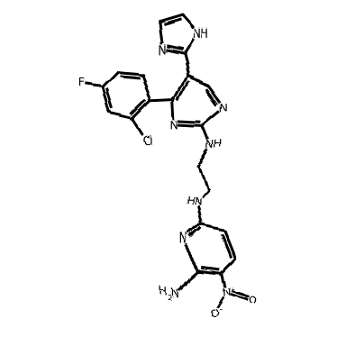 Nc1nc(NCCNc2ncc(-c3ncc[nH]3)c(-c3ccc(F)cc3Cl)n2)ccc1[N+](=O)[O-]